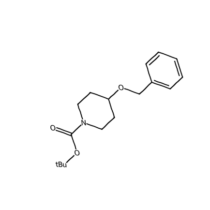 CC(C)(C)OC(=O)N1CCC(OCc2ccccc2)CC1